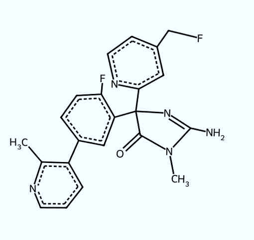 Cc1ncccc1-c1ccc(F)c(C2(c3cc(CF)ccn3)N=C(N)N(C)C2=O)c1